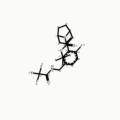 CC(C)(C)OC(=O)N1C2C=C(c3cc(CNC(=O)C(F)(F)F)ccc3F)CC1CC2